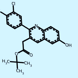 CC(C)(C)OC(=O)Cc1cc2cc(O)ccc2nc1-c1ccc(F)c(Cl)c1